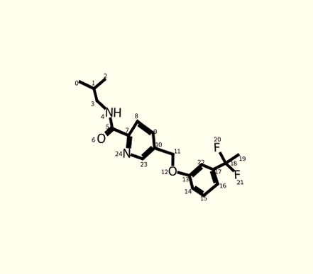 CC(C)CNC(=O)c1ccc(COc2cccc(C(C)(F)F)c2)cn1